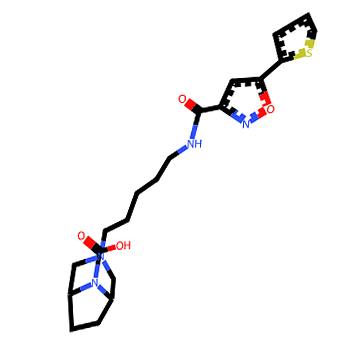 O=C(NCCCCCN1CC2CCC(C1)N2C(=O)O)c1cc(-c2cccs2)on1